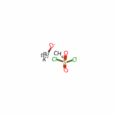 C.CC(C)(C)[O-].O=S(=O)(Cl)Cl.[K+]